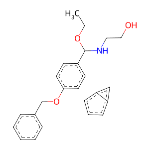 CCOC(NCCO)c1ccc(OCc2ccccc2)cc1.c1cc2cc-2c1